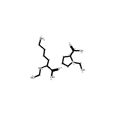 NCCCCC(NCO)C(=O)O.O=C(O)C1CCCN1CO